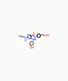 CCCCNc1ncc(C(=O)Nc2ccc(CCO)cc2)c(N[C@H]2CC[C@H](O)CC2)n1